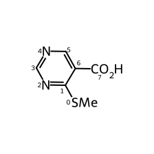 CSc1ncncc1C(=O)O